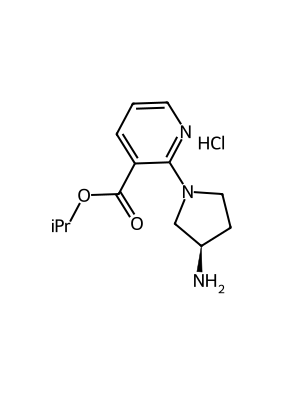 CC(C)OC(=O)c1cccnc1N1CC[C@@H](N)C1.Cl